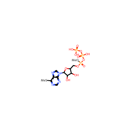 COP(=O)(OCC1OC(n2cnc3c(SC)ncnc32)C(O)C1O)OP(=O)(O)OP(=O)(O)O